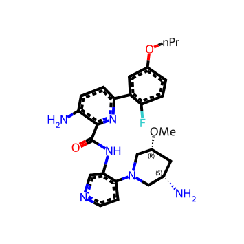 CCCOc1ccc(F)c(-c2ccc(N)c(C(=O)Nc3cnccc3N3C[C@@H](N)C[C@@H](OC)C3)n2)c1